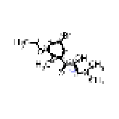 CCOc1cc(Br)cc(C(=O)/C(O)=C/N(C)C)c1C